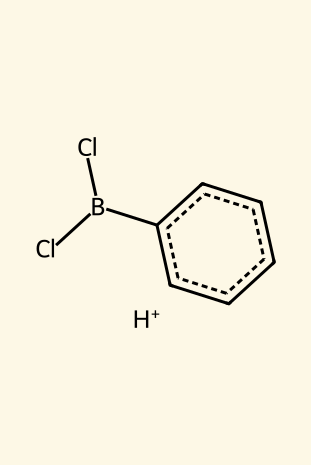 ClB(Cl)c1ccccc1.[H+]